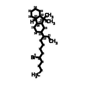 CCCCC(Br)CCCCC(CC)C1CCC2C(C1)C(C)(C)C1CCCC[C@@H]21